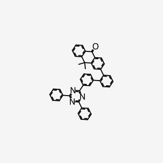 CC1(C)c2ccccc2C(=O)c2ccc(-c3ccccc3-c3cccc(-c4nc(-c5ccccc5)nc(-c5ccccc5)n4)c3)cc21